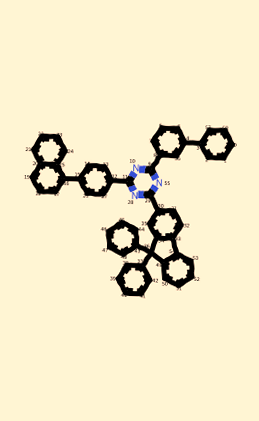 c1ccc(-c2cccc(-c3nc(-c4ccc(-c5cccc6ccccc56)cc4)nc(-c4ccc5c(c4)C(c4ccccc4)(c4ccccc4)c4ccccc4-5)n3)c2)cc1